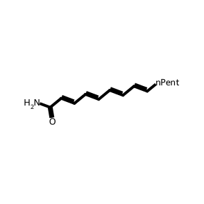 CCCCCC=CC=CC=CC=CC(N)=O